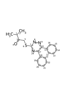 CC(C)C(=O)CSc1nnc(-c2ccccc2)c(-c2ccccc2)n1